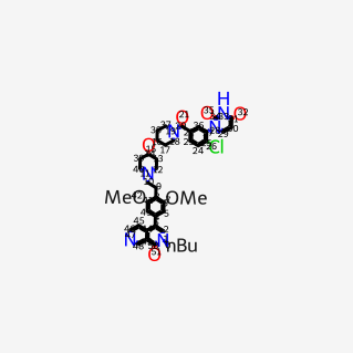 CCCCn1cc(-c2cc(OC)c(CCN3CCC(OC4CCN(C(=O)c5ccc(Cl)c(-n6ccc(=O)[nH]c6=O)c5)CC4)CC3)c(OC)c2)c2ccncc2c1=O